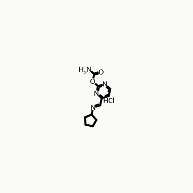 Cl.NC(=O)Oc1nccc(C=NC2CCCC2)n1